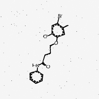 Cc1cc(OCCCC(=O)Nc2ccccc2)c(Cl)cc1Br